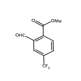 COC(=O)c1ccc(C(F)(F)F)cc1C=O